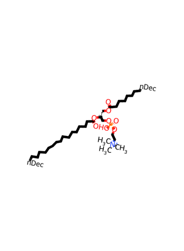 CCCCCCCCCCCCCCCCCCCCCCCCCC(=O)O[C@H](COC(=O)CCCCCCCCCCCCCCCCC)COP(=O)(O)OCC[N+](C)(C)C